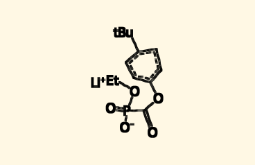 CCOP(=O)([O-])C(=O)Oc1ccc(C(C)(C)C)cc1.[Li+]